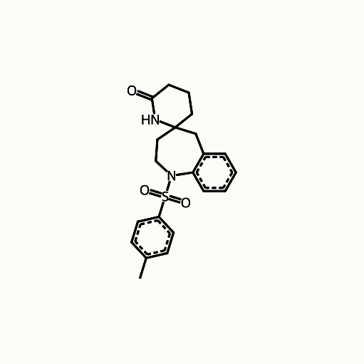 Cc1ccc(S(=O)(=O)N2CCC3(CCCC(=O)N3)Cc3ccccc32)cc1